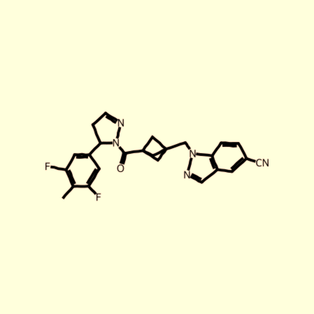 Cc1c(F)cc(C2CC=NN2C(=O)C23CC(Cn4ncc5cc(C#N)ccc54)(C2)C3)cc1F